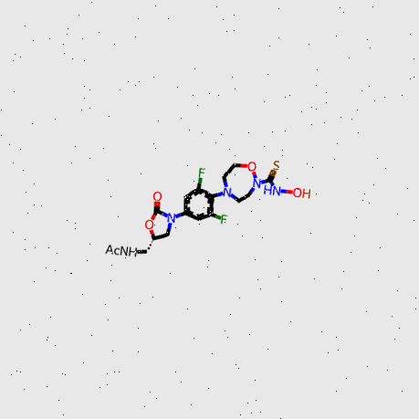 CC(=O)NC[C@H]1CN(c2cc(F)c(N3CCON(C(=S)NO)CC3)c(F)c2)C(=O)O1